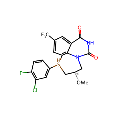 CO[C@H]1Cn2c(=O)[nH]c(=O)c3cc(C(F)(F)F)cc(c32)[SH](c2ccc(F)c(Cl)c2)C1